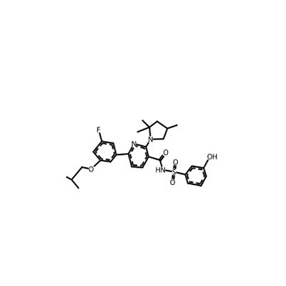 CC(C)COc1cc(F)cc(-c2ccc(C(=O)NS(=O)(=O)c3cccc(O)c3)c(N3CC(C)CC3(C)C)n2)c1